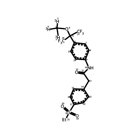 [2H]C([2H])([2H])OC(c1ccc(NC(=O)Cc2ccc(S(=O)(=O)CC)cc2)cc1)(C(F)(F)F)C(F)(F)F